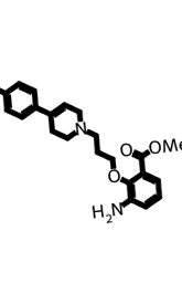 COC(=O)c1cccc(N)c1OCCCN1CC=C(c2ccc(F)cc2)CC1